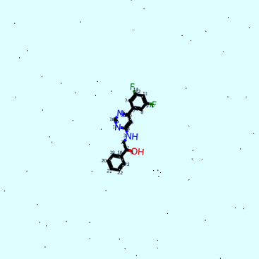 OC(CNc1cc(-c2cc(F)cc(F)c2)ncn1)c1ccccc1